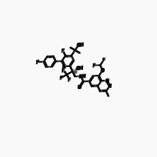 Cc1cc2cc(C(=O)NC[C@](O)(c3cc(C(C)(C)O)c(F)c(-c4ccc(F)cc4)n3)C(F)(F)F)cc(OC(F)F)c2nn1